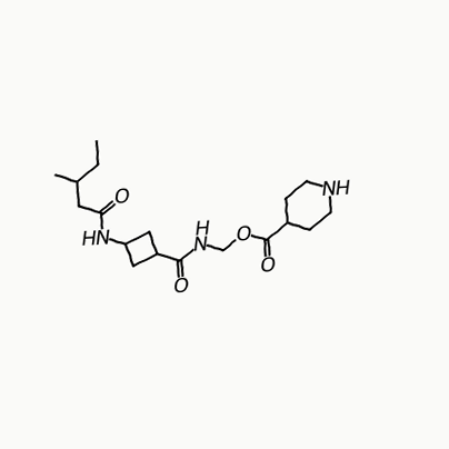 CCC(C)CC(=O)NC1CC(C(=O)NCOC(=O)C2CCNCC2)C1